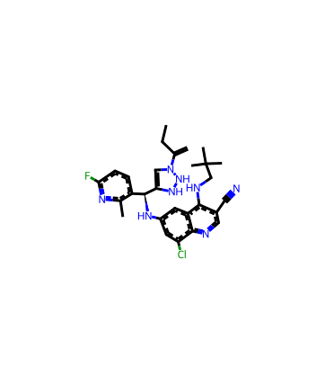 C=C(CC)N1C=C([C@@H](Nc2cc(Cl)c3ncc(C#N)c(NCC(C)(C)C)c3c2)c2ccc(F)nc2C)NN1